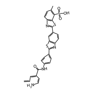 C=C/C=C(\C=C/N)C(=O)Nc1ccc(-c2nc3ccc(-c4nc5ccc(C)c(S(=O)(=O)O)c5s4)cc3s2)cc1